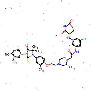 C[C@@H]1CN(CCOc2ccc(N3C(=S)N(c4ccc(C#N)c(C(F)(F)F)c4)C(=O)C3(C)C)cc2C(F)(F)F)CCN1CC(=O)Nc1cc(Cl)cc(NC2CCC(=O)NC2=O)c1